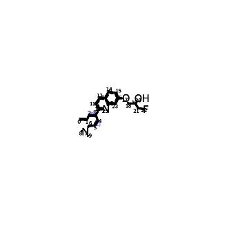 C=C/C=C(\C=C/CN(C)C)c1ccc2ccc(OCC(O)CF)cc2n1